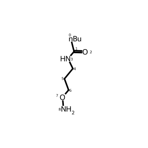 CCCCC(=O)NCCCON